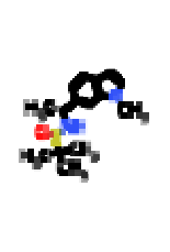 C[C@@H](N[S+]([O-])C(C)(C)C)c1ccc2ccn(C)c2c1